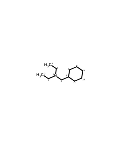 CCN(CC)CC1CC[CH]CC1